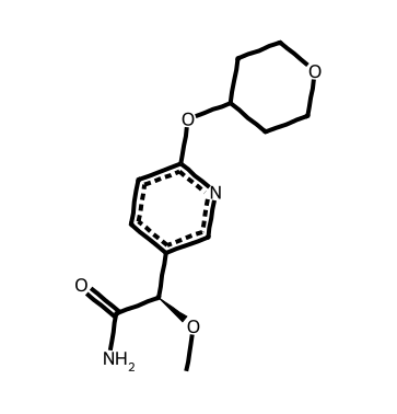 CO[C@@H](C(N)=O)c1ccc(OC2CCOCC2)nc1